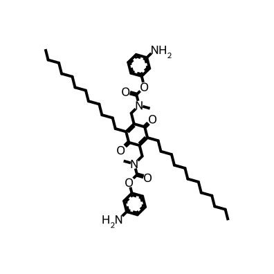 CCCCCCCCCCCCC1=C(CN(C)C(=O)Oc2cccc(N)c2)C(=O)C(CCCCCCCCCCCC)=C(CN(C)C(=O)Oc2cccc(N)c2)C1=O